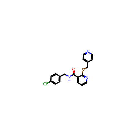 O=C(NCc1ccc(Cl)cc1)c1cccnc1SCc1ccncc1